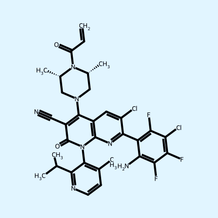 C=CC(=O)N1[C@H](C)CN(c2c(C#N)c(=O)n(-c3c(C)ccnc3C(C)C)c3nc(-c4c(N)c(F)c(F)c(Cl)c4F)c(Cl)cc23)C[C@@H]1C